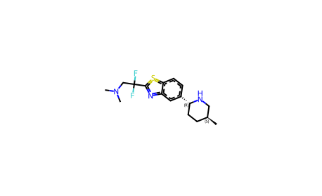 C[C@H]1CC[C@H](c2ccc3sc(C(F)(F)CN(C)C)nc3c2)NC1